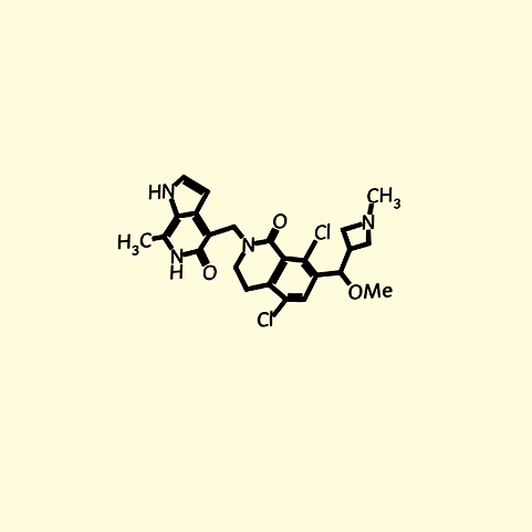 COC(c1cc(Cl)c2c(c1Cl)C(=O)N(Cc1c(=O)[nH]c(C)c3[nH]ccc13)CC2)C1CN(C)C1